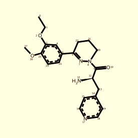 CCOc1cc(C2=NN(C(=O)[C@H](N)Cc3ccncc3)CCC2)ccc1OC